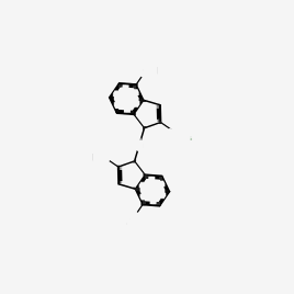 CC1=Cc2c(C)cccc2[CH]1[Ti+2][CH]1C(C)=Cc2c(C)cccc21.[Cl-].[Cl-]